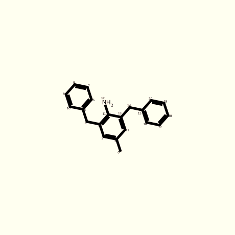 Cc1cc(Cc2ccccc2)c(N)c(Cc2ccccc2)c1